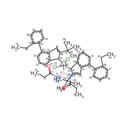 CCC(=O)N[B](NC(=O)CC)[Hf]([Cl])([Cl])([CH]1C(C(C)(C)C)=Cc2c(-c3ccccc3CC)cccc21)[CH]1C(C(C)(C)C)=Cc2c(-c3ccccc3CC)cccc21